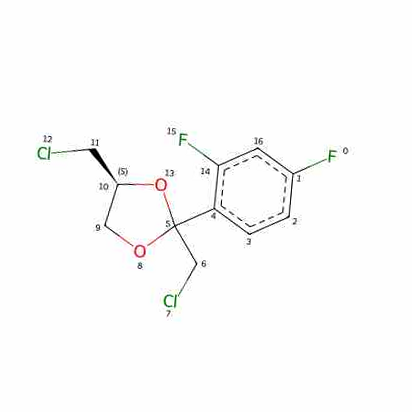 Fc1ccc(C2(CCl)OC[C@@H](CCl)O2)c(F)c1